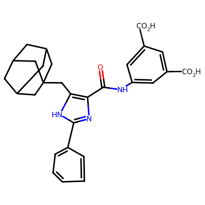 O=C(O)c1cc(NC(=O)c2nc(-c3ccccc3)[nH]c2CC23CC4CC(CC(C4)C2)C3)cc(C(=O)O)c1